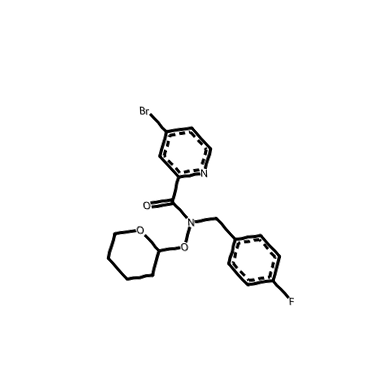 O=C(c1cc(Br)ccn1)N(Cc1ccc(F)cc1)OC1CCCCO1